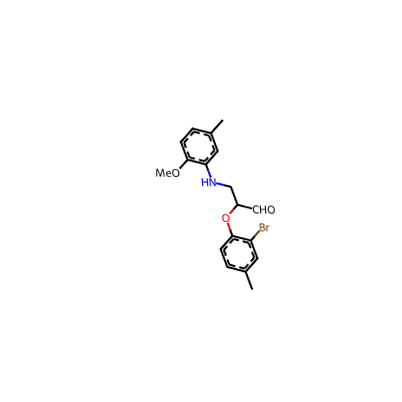 COc1ccc(C)cc1NCC(C=O)Oc1ccc(C)cc1Br